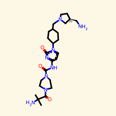 CC(C)(N)C(=O)N1CCN(C(=O)Nc2ccn(C3CCC(CN4CC[C@@H](CN)C4)CC3)c(=O)n2)CC1